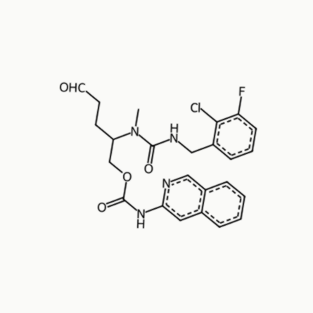 CN(C(=O)NCc1cccc(F)c1Cl)C(CCC=O)COC(=O)Nc1cc2ccccc2cn1